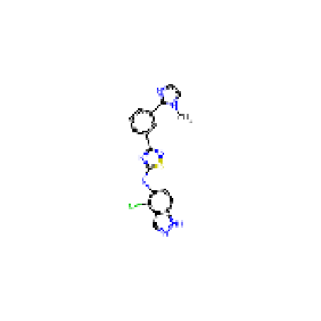 Cn1ccnc1-c1cccc(-c2nsc(Nc3ccc4[nH]ncc4c3Cl)n2)c1